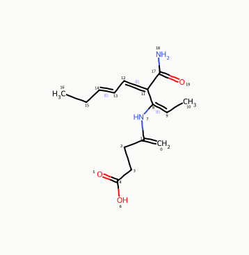 C=C(CCC(=O)O)NC(=C/C)/C(=C\C=C\CC)C(N)=O